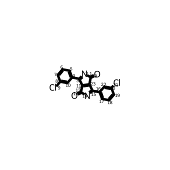 O=c1nc(-c2cccc(Cl)c2)c2c(=O)nc(-c3cccc(Cl)c3)c1=2